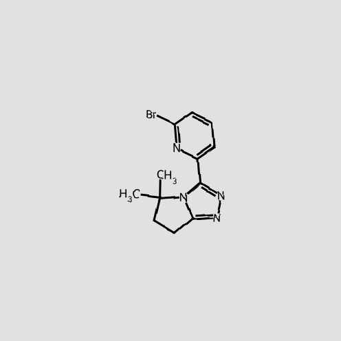 CC1(C)CCc2nnc(-c3cccc(Br)n3)n21